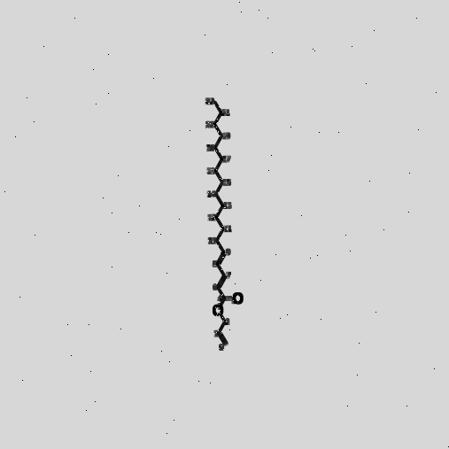 C=CCOC(=O)C=CC=CCCCCCCCCCCCCC